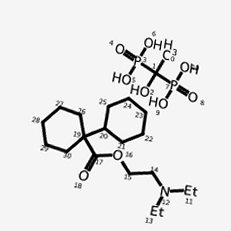 CC(O)(P(=O)(O)O)P(=O)(O)O.CCN(CC)CCOC(=O)C1(C2CCCCC2)CCCCC1